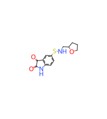 O=C1Nc2ccc(SNCC3CCCO3)cc2C1=O